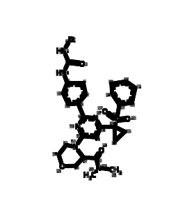 CCNC(=O)Nc1ccc(-c2nc(N3CCOCC3C(=O)N(C)C)cc(C3(S(=O)(=O)c4ccccc4)CC3)n2)cc1